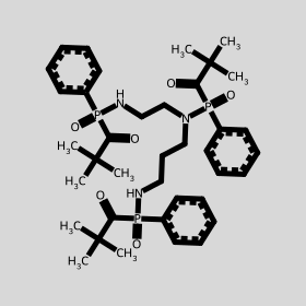 CC(C)(C)C(=O)P(=O)(NCCCN(CCNP(=O)(C(=O)C(C)(C)C)c1ccccc1)P(=O)(C(=O)C(C)(C)C)c1ccccc1)c1ccccc1